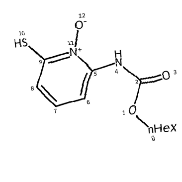 CCCCCCOC(=O)Nc1cccc(S)[n+]1[O-]